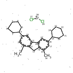 Cc1cc(C2CCCCC2)cc2c1[CH]c1c(C)cc(C3CCCCC3)cc1-2.[Cl][Zr][Cl]